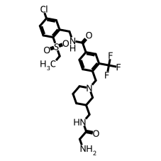 CCS(=O)(=O)c1ccc(Cl)cc1CNC(=O)c1ccc(CN2CCCC(CNC(=O)CN)C2)c(C(F)(F)F)c1